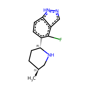 C[C@H]1CC[C@H](c2ccc3[nH]ncc3c2F)NC1